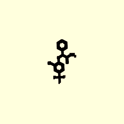 NC(=O)C(Oc1ccc(C(F)(F)F)cc1Cl)c1ccccc1